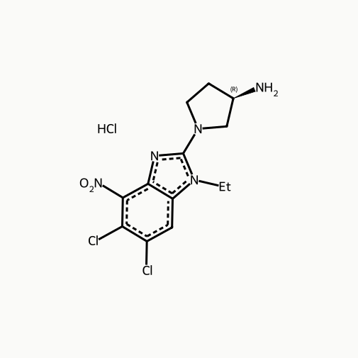 CCn1c(N2CC[C@@H](N)C2)nc2c([N+](=O)[O-])c(Cl)c(Cl)cc21.Cl